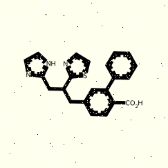 O=C(O)c1ccc(CC(Cc2ncc[nH]2)c2nccs2)cc1-c1ccccc1